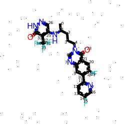 CC(CCCn1cnc2cc(-c3ccc(F)cn3)c(F)cc2c1=O)Nc1cn[nH]c(=O)c1C(F)(F)F